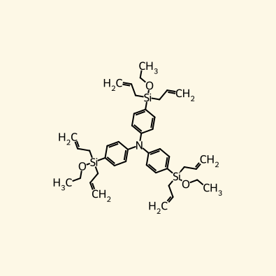 C=CC[Si](CC=C)(OCC)c1ccc(N(c2ccc([Si](CC=C)(CC=C)OCC)cc2)c2ccc([Si](CC=C)(CC=C)OCC)cc2)cc1